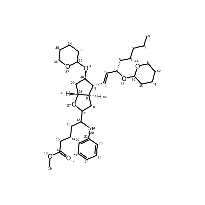 CCCCC[C@@H](/C=C/[C@@H]1[C@H]2CC(C(CCCC(=O)OC)[Se]c3ccccc3)O[C@@H]2C[C@H]1OC1CCCCO1)OC1CCCCO1